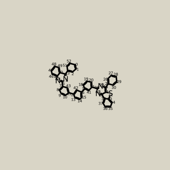 c1ccc(-c2nc(-c3cccc(-c4cccc(-c5cccc(-c6nc(-c7ccccc7)c7sc8ccccc8c7n6)c5)c4)c3)nc3ccccc23)cc1